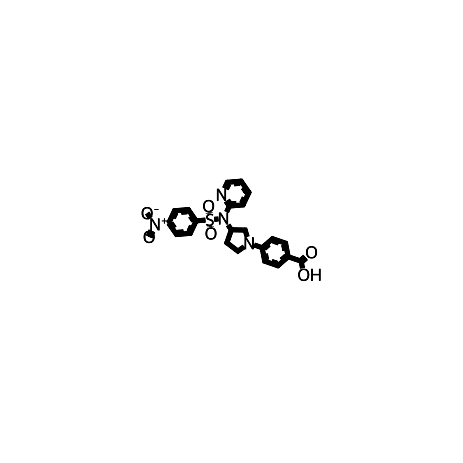 O=C(O)c1ccc(N2CCC(N(c3ccccn3)S(=O)(=O)c3ccc([N+](=O)[O-])cc3)C2)cc1